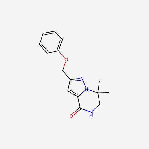 CC1(C)CNC(=O)c2cc(COc3ccccc3)nn21